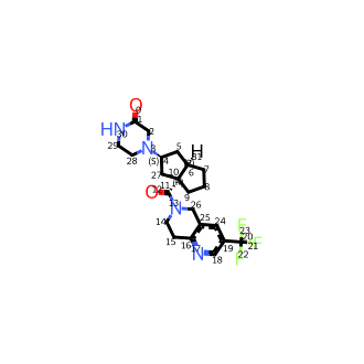 O=C1CN([C@H]2C[C@H]3CCC[C@@]3(C(=O)N3CCc4ncc(C(F)(F)F)cc4C3)C2)CCN1